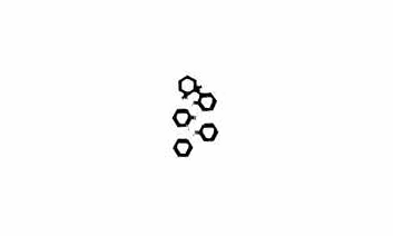 CC12CCCCC1(C)N1c3cccc4c3B(c3ccccc3N4c3ccccc3)c3cccc2c31